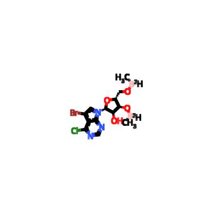 [2H]B(C)OC[C@H]1O[C@@H](n2cc(Br)c3c(Cl)ncnc32)[C@H](O)[C@@H]1OB([2H])C